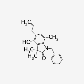 C=CCc1cc(C)c2c(c1O)C(C)(C)C(=O)N2Cc1ccccc1